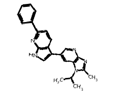 Cc1nc2ncc(-c3c[nH]c4nc(-c5ccccc5)ccc34)cc2n1C(C)C